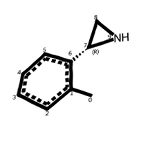 Cc1ccccc1[C@@H]1CN1